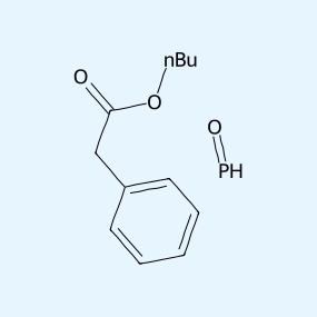 CCCCOC(=O)Cc1ccccc1.O=P